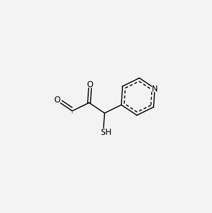 O=[C]C(=O)C(S)c1ccncc1